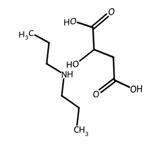 CCCNCCC.O=C(O)CC(O)C(=O)O